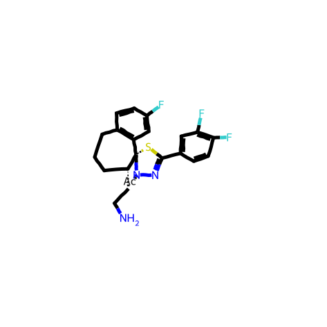 CC(=O)N1N=C(c2ccc(F)c(F)c2)S[C@]12c1cc(F)ccc1CCC[C@H]2CCN